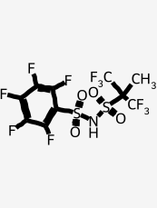 CC(C(F)(F)F)(C(F)(F)F)S(=O)(=O)NS(=O)(=O)c1c(F)c(F)c(F)c(F)c1F